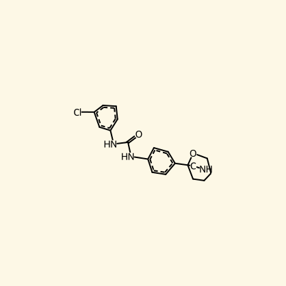 O=C(Nc1ccc(C23CCC(CO2)NC3)cc1)Nc1cccc(Cl)c1